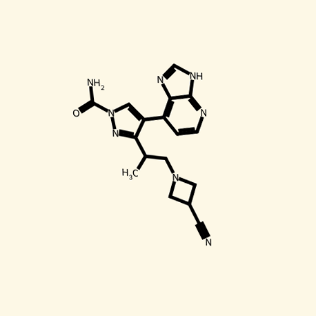 CC(CN1CC(C#N)C1)c1nn(C(N)=O)cc1-c1ccnc2[nH]cnc12